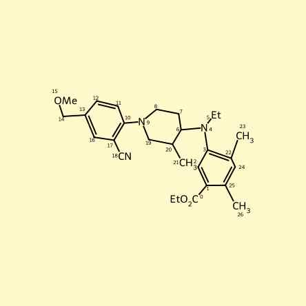 CCOC(=O)c1cc(N(CC)C2CCN(c3ccc(COC)cc3C#N)CC2C)c(C)cc1C